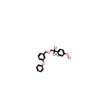 CCOc1ccc(C(C)(CC)COCc2cccc(Oc3ccccc3)c2)cc1